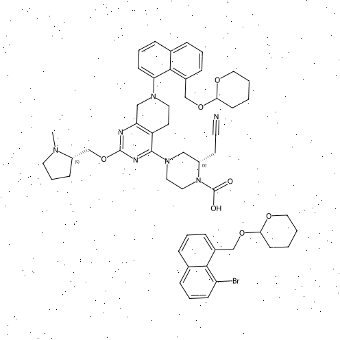 Brc1cccc2cccc(COC3CCCCO3)c12.CN1CCC[C@H]1COc1nc2c(c(N3CCN(C(=O)O)[C@@H](CC#N)C3)n1)CCN(c1cccc3cccc(COC4CCCCO4)c13)C2